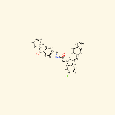 CSc1ccc(/C=C2\C=C(CC(=O)NCc3ccc(C(=O)c4ccccc4)cc3)c3cc(F)ccc32)cc1